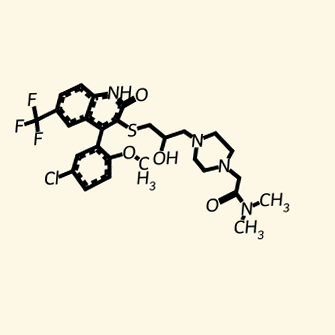 COc1ccc(Cl)cc1-c1c(SCC(O)CN2CCN(CC(=O)N(C)C)CC2)c(=O)[nH]c2ccc(C(F)(F)F)cc12